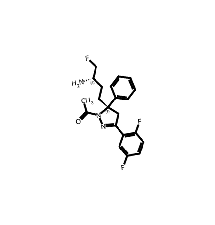 CC(=O)N1N=C(c2cc(F)ccc2F)C[C@@]1(CC[C@H](N)CF)c1ccccc1